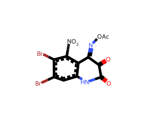 CC(=O)ON=C1C(=O)C(=O)Nc2cc(Br)c(Br)c([N+](=O)[O-])c21